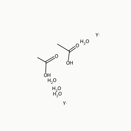 CC(=O)O.CC(=O)O.O.O.O.O.[Y].[Y]